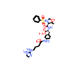 CC1OCN(S(=O)(=O)c2ccccc2)[C@@H]1C(=O)N[C@@H](Cc1ccc(NC(=O)CCCNC2=NCCN2)cc1)C(=O)O